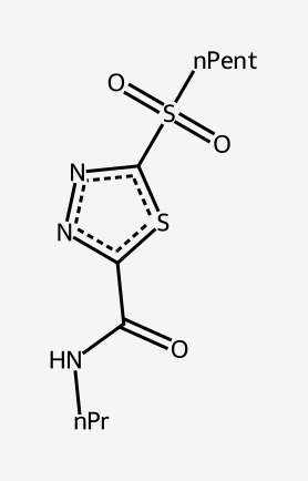 CCCCCS(=O)(=O)c1nnc(C(=O)NCCC)s1